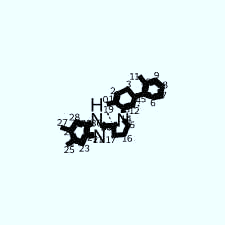 CC1=CCC(c2ccccc2C)[C]=C1N1CCC[C@@]1(C)c1nc2cc(C)c(C)cc2[nH]1